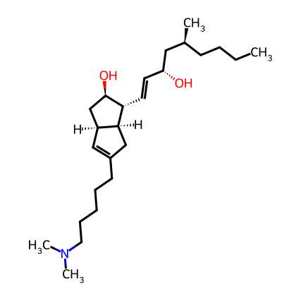 CCCC[C@H](C)C[C@H](O)/C=C/[C@@H]1[C@H]2CC(CCCCCN(C)C)=C[C@H]2C[C@H]1O